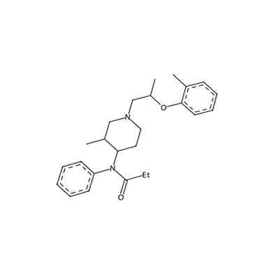 CCC(=O)N(c1ccccc1)C1CCN(CC(C)Oc2ccccc2C)CC1C